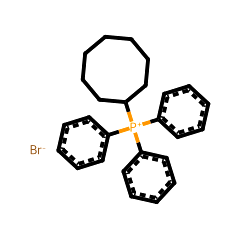 [Br-].c1ccc([P+](c2ccccc2)(c2ccccc2)C2CCCCCCC2)cc1